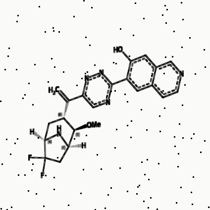 C=C(c1cnc(-c2cc3ccncc3cc2O)nn1)[C@H]1C[C@H]2N[C@H](CC2(F)F)[C@@H]1OC